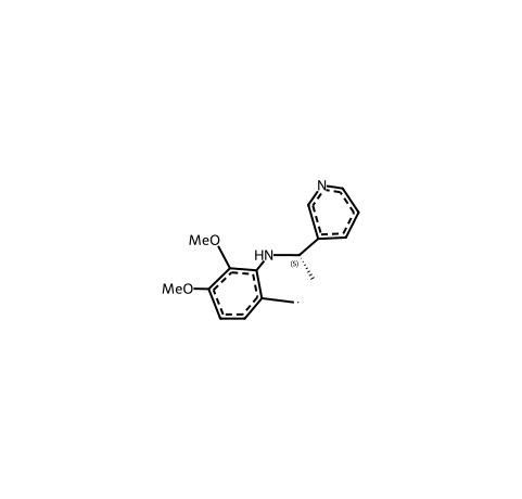 [CH2]c1ccc(OC)c(OC)c1N[C@@H](C)c1cccnc1